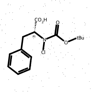 CC(C)(C)OC(=O)N(Cl)[C@H](Cc1ccccc1)C(=O)O